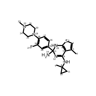 Cc1csc2c1C(NC1(C)CC1)=NC(N)(c1ccc(N3CCN(C)CC3)c(F)c1)N2